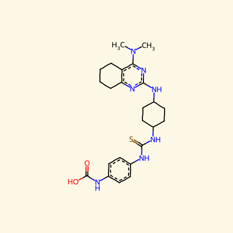 CN(C)c1nc(NC2CCC(NC(=S)Nc3ccc(NC(=O)O)cc3)CC2)nc2c1CCCC2